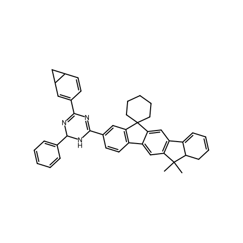 CC1(C)c2cc3c(cc2C2=CC=CCC21)C1(CCCCC1)c1cc(C2=NC(C4=CC5CC5C=C4)=NC(c4ccccc4)N2)ccc1-3